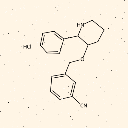 Cl.N#Cc1cccc(COC2CCCNC2c2ccccc2)c1